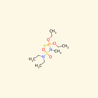 CCOP(=S)(OCC)N(C)S(=O)(=O)N(CC)CC